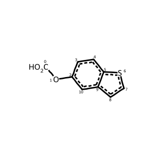 O=C(O)Oc1ccc2sccc2c1